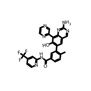 Cc1ccc(C(=O)Nc2cc(C(F)(F)F)ccn2)cc1-c1cc2cnc(N)nc2c(-c2cnccn2)c1O